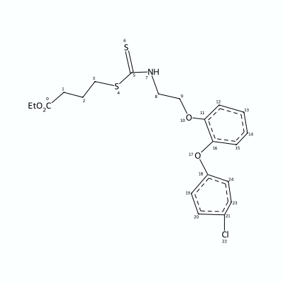 CCOC(=O)CCCSC(=S)NCCOc1ccccc1Oc1ccc(Cl)cc1